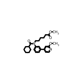 COC(=O)CCCCCN(C(=O)C1CCCCC1)c1cccc(-c2ccnc(OC)c2)c1